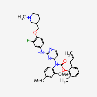 C=CCc1cccc(C)c1OC(=O)N(c1ccnc(Nc2ccc(OCC3CCCN(C)C3)c(F)c2)n1)c1ccc(OC)cc1OC